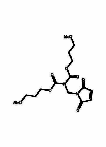 COCCCOC(=O)N(CN1C(=O)C=CC1=O)C(=O)OCCCOC